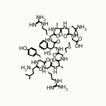 CSCC[C@H](NC(=O)[C@@H](C)NC(=O)[C@H](CCCNC(=N)N)NC(=O)[C@@H](Cc1ccc(O)cc1)NC(=O)[C@@H](N)CC(C)C)C(=O)N[C@H](C(=O)N[C@H](CCCNC(=N)N)C(=O)N[C@@H](C)C(=O)N[C@H](CC(N)=O)C(=O)NCC(=O)O)[C@H](S)c1ccccc1